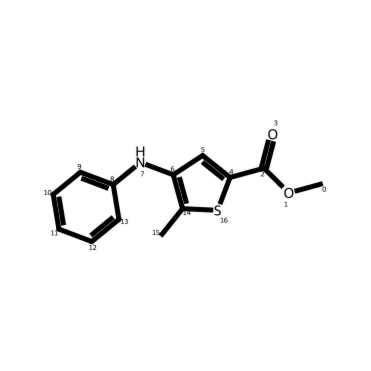 COC(=O)c1cc(Nc2ccccc2)c(C)s1